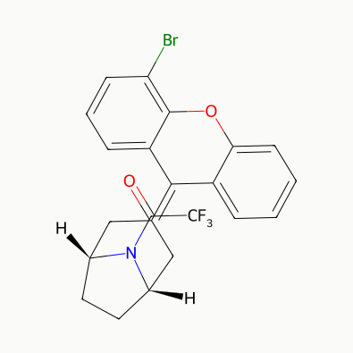 O=C(N1[C@@H]2CC[C@H]1C/C(=C1\c3ccccc3Oc3c(Br)cccc31)C2)C(F)(F)F